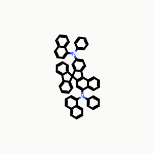 c1ccc(N(c2ccc3c(c2)C2(c4ccccc4-c4ccccc42)c2cc(N(c4ccccc4)c4cccc5ccccc45)c4ccccc4c2-3)c2cccc3ccccc23)cc1